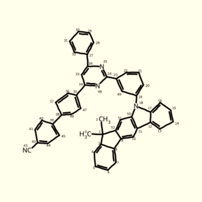 CC1(C)c2ccccc2-c2cc3c4ccccc4n(-c4cccc(-c5nc(-c6ccccc6)cc(-c6ccc(-c7ccc(C#N)cc7)cc6)n5)c4)c3cc21